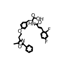 Cc1oc(-c2ccccc2)nc1CCOc1ccc(C[C@H](NC(=O)/C=C/c2ccc(F)cc2F)C(=O)O)cc1